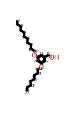 CCCCCCCCCCCOc1cc(CO)cc(OCCCCCCCC)c1